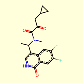 CC(c1c[nH]c(=O)c2cc(F)c(F)cc12)N(C)C(=O)C(=O)CC1CC1